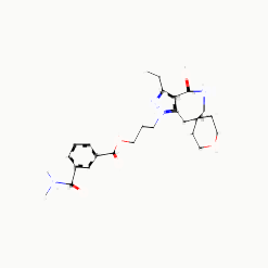 CCc1nn(CCCOC(=O)c2cccc(C(=O)N(C)C)c2)c2c1C(=O)NCC1(CCOCC1)C2